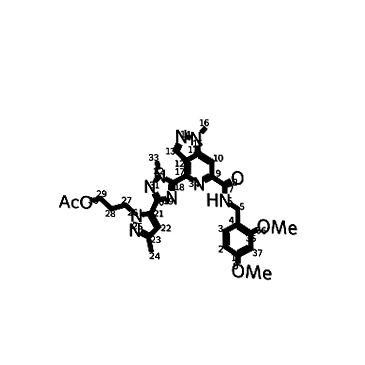 COc1ccc(CNC(=O)c2cc3c(cnn3C)c(-c3nc(-c4cc(C)nn4CCCOC(C)=O)nn3C)n2)c(OC)c1